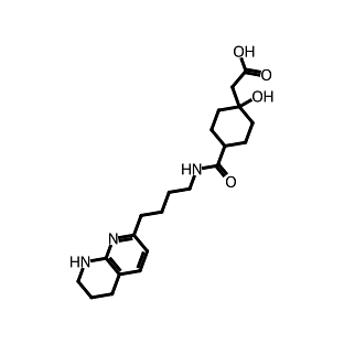 O=C(O)CC1(O)CCC(C(=O)NCCCCc2ccc3c(n2)NCCC3)CC1